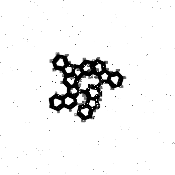 c1ccc2c(c1)ccc1c2c2cc3c4ccccc4n4c5ccccc5c(c2n1-c1nc(-n2c5ccccc5c5ccccc52)nc2oc5ccccc5c12)c34